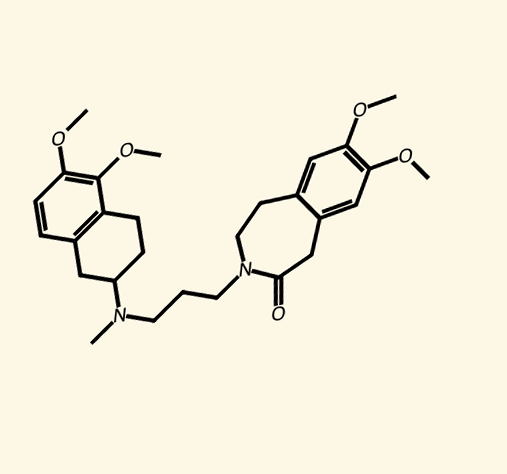 COc1cc2c(cc1OC)CC(=O)N(CCCN(C)C1CCc3c(ccc(OC)c3OC)C1)CC2